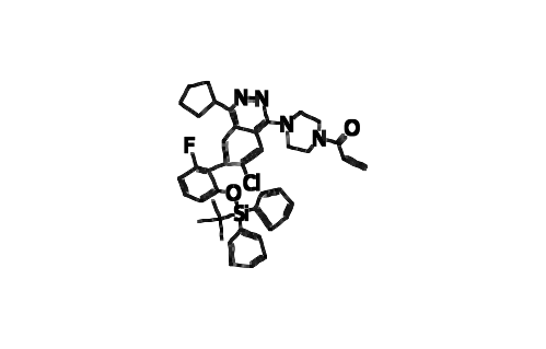 C=CC(=O)N1CCN(c2nnc(C3CCCC3)c3cc(-c4c(F)cccc4O[Si](c4ccccc4)(c4ccccc4)C(C)(C)C)c(Cl)cc23)CC1